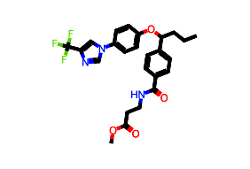 CCCC(Oc1ccc(-n2cnc(C(F)(F)F)c2)cc1)c1ccc(C(=O)NCCC(=O)OC)cc1